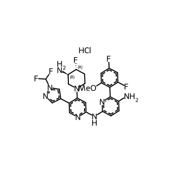 COc1cc(F)cc(F)c1-c1nc(Nc2cc(N3CC[C@@H](F)[C@H](N)C3)c(-c3cnn(C(F)F)c3)cn2)ccc1N.Cl